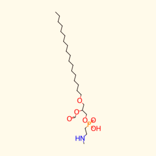 CCCCCCCCCCCCCCCCCCOCC(COP(=O)(O)CCNC)OC=O